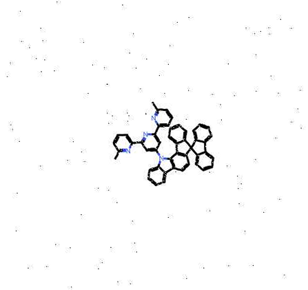 Cc1cccc(-c2cc(-n3c4ccccc4c4ccc5c(c43)-c3ccccc3C53c4ccccc4-c4ccccc43)cc(-c3cccc(C)n3)n2)n1